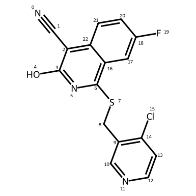 N#Cc1c(O)nc(SCc2cnccc2Cl)c2cc(F)ccc12